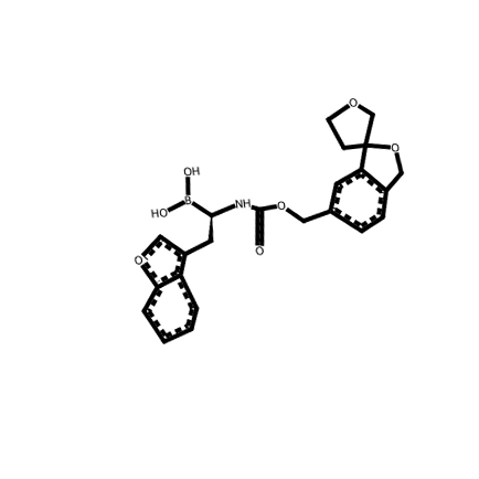 O=C(N[C@@H](Cc1coc2ccccc12)B(O)O)OCc1ccc2c(c1)C1(CCOC1)OC2